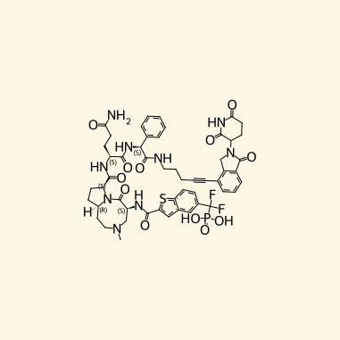 CN1CC[C@H]2CC[C@@H](C(=O)N[C@@H](CCC(N)=O)C(=O)N[C@H](C(=O)NCCCC#Cc3cccc4c3CN(C3CCC(=O)NC3=O)C4=O)c3ccccc3)N2C(=O)[C@@H](NC(=O)c2cc3cc(C(F)(F)P(=O)(O)O)ccc3s2)C1